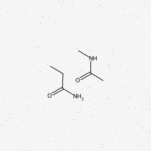 CCC(N)=O.CNC(C)=O